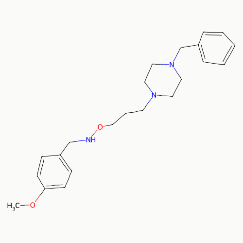 COc1ccc(CNOCCCN2CCN(Cc3ccccc3)CC2)cc1